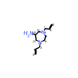 C=CCN1CCN(CC=C)CC(N)C1